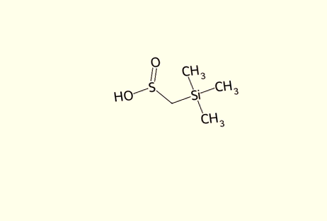 C[Si](C)(C)CS(=O)O